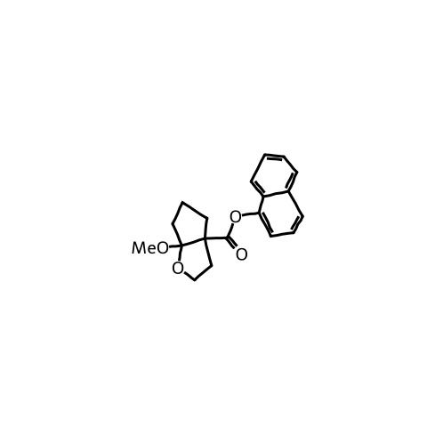 COC12CCCC1(C(=O)Oc1cccc3ccccc13)CCO2